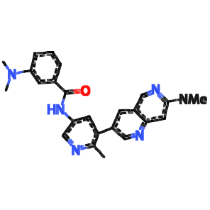 CNc1cc2ncc(-c3cc(NC(=O)c4cccc(N(C)C)c4)cnc3C)cc2cn1